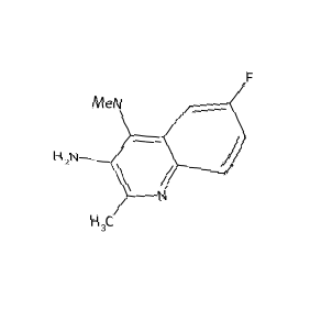 CNc1c(N)c(C)nc2ccc(F)cc12